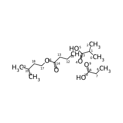 CC(C)C(=O)O.CCC(=O)O.CCCC(=O)OCCC(C)C